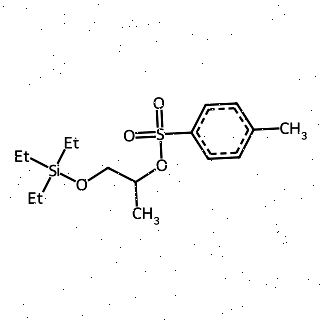 CC[Si](CC)(CC)OCC(C)OS(=O)(=O)c1ccc(C)cc1